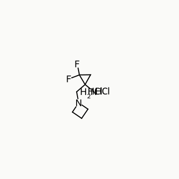 Cl.Cl.NC1(CN2CCC2)CC1(F)F